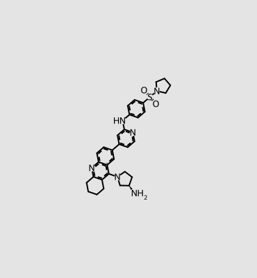 N[C@@H]1CCN(c2c3c(nc4ccc(-c5ccnc(Nc6ccc(S(=O)(=O)N7CCCC7)cc6)c5)cc24)CCCC3)C1